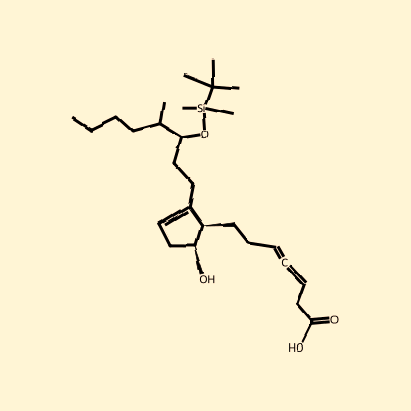 CCCCC(C)C(CCC1=CC[C@H](O)[C@@H]1CCC=C=CCC(=O)O)O[Si](C)(C)C(C)(C)C